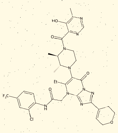 CCc1c(N2CCN(C(=O)c3ncnc(C)c3O)[C@H](C)[C@H]2C)c(=O)n2nc(C3=CCOCC3)nc2n1CC(=O)Nc1ccc(C(F)(F)F)cc1Cl